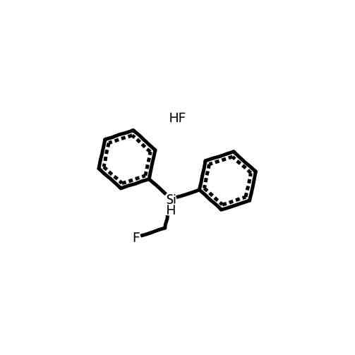 F.FC[SiH](c1ccccc1)c1ccccc1